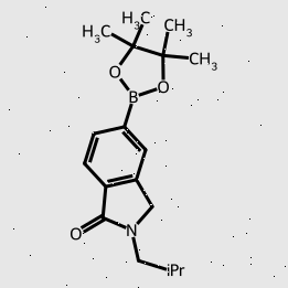 CC(C)CN1Cc2cc(B3OC(C)(C)C(C)(C)O3)ccc2C1=O